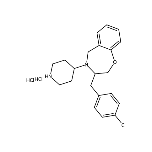 Cl.Cl.Clc1ccc(CC2COc3ccccc3CN2C2CCNCC2)cc1